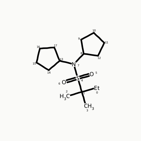 CCC(C)(C)S(=O)(=O)N(C1CCCC1)C1CCCC1